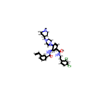 C=Cc1cccc(C(=O)Nc2cc(C(=O)NCCc3ccc(Cl)cc3Cl)ccc2N2CCN(CC3CCN(C)CC3)CC2)c1